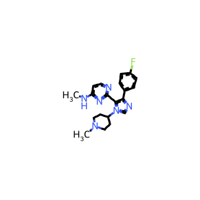 CNc1ccnc(-c2c(-c3ccc(F)cc3)ncn2C2CCN(C)CC2)n1